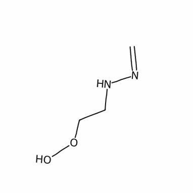 C=NNCCOO